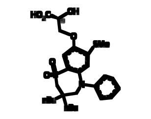 CCCCC1(CCCC)CN(c2ccccc2)c2cc(SC)c(OC[C@H](O)C(=O)O)cc2S(=O)(=O)C1